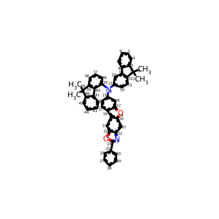 CC1(C)c2ccccc2-c2cc(N(c3ccc4c(c3)oc3cc5nc(-c6ccccc6)oc5cc34)c3cccc4c3-c3ccccc3C4(C)C)ccc21